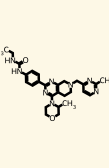 CCNC(=O)Nc1ccc(-c2nc3c(c(N4CCOCC4C)n2)CCN(Cc2ccnc(C)n2)C3)cc1